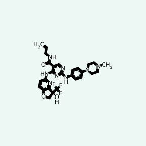 C=CCNC(=O)c1cnc(Nc2ccc(N3CCN(C)CC3)cc2)nc1Nc1ccc2c(n1)[C@](O)(C(F)(F)F)CO2